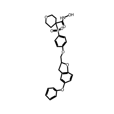 O=C(NO)C1(S(=O)(=O)c2ccc(OCC3Cc4cc(Oc5ccccc5)ccc4O3)cc2)CCOCC1